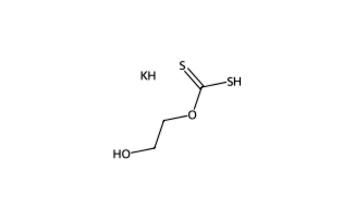 OCCOC(=S)S.[KH]